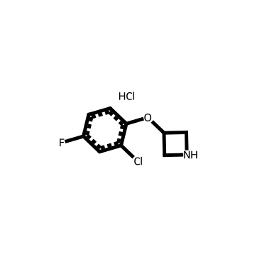 Cl.Fc1ccc(OC2CNC2)c(Cl)c1